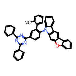 N#Cc1ccccc1-c1cc(-c2nc(-c3ccccc3)nc(-c3ccccc3)n2)ccc1-n1c2ccccc2c2cc3c(cc21)oc1ccccc13